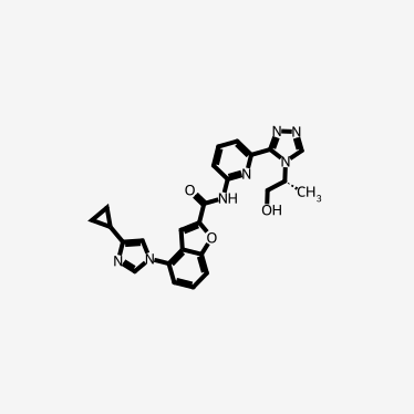 C[C@H](CO)n1cnnc1-c1cccc(NC(=O)c2cc3c(-n4cnc(C5CC5)c4)cccc3o2)n1